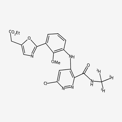 [2H]C([2H])([2H])NC(=O)c1nnc(Cl)cc1Nc1cccc(-c2ncc(CC(=O)OCC)o2)c1OC